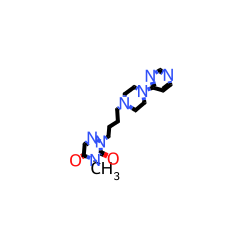 Cn1c(=O)cnn(CCCCN2CCN(c3ccncn3)CC2)c1=O